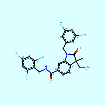 CC1(CC#N)C(=O)N(Cc2cc(F)cc(F)c2)c2cc(C(=O)NCc3c(F)cc(F)cc3F)ccc21